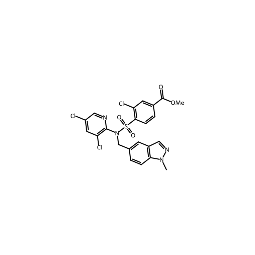 COC(=O)c1ccc(S(=O)(=O)N(Cc2ccc3c(cnn3C)c2)c2ncc(Cl)cc2Cl)c(Cl)c1